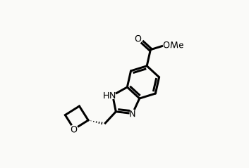 COC(=O)c1ccc2nc(C[C@H]3CCO3)[nH]c2c1